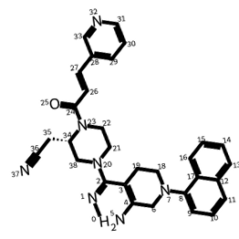 C/N=C(\C1=C(N)CN(c2cccc3ccccc23)CC1)N1CCN(C(=O)/C=C/c2cccnc2)[C@@H](CC#N)C1